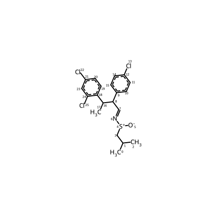 CC(C)C[S+]([O-])N=CC(c1ccc(Cl)cc1)C(C)c1ccc(Cl)cc1Cl